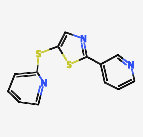 c1ccc(Sc2cnc(-c3cccnc3)s2)nc1